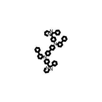 c1ccc(-c2cccc(N(c3ccc(-c4ccc(N(c5ccc(-c6c(-c7ccccc7)nc7ccccn67)cc5)c5cccc(-c6ccccc6)c5)cc4)cc3)c3ccc(-c4c(-c5ccccc5)nc5ccccn45)cc3)c2)cc1